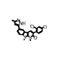 Cc1cc(-c2ccc3c(c2)c2cc(-c4ccc(Cl)cc4Cl)c(=O)n(C)c2n3C)[nH]n1